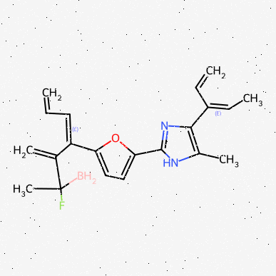 BC(C)(F)C(=C)/C(=C\C=C)c1ccc(-c2nc(/C(C=C)=C/C)c(C)[nH]2)o1